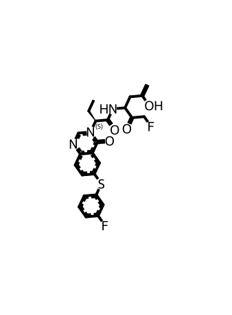 C=C(O)CC(NC(=O)[C@H](CC)n1cnc2ccc(Sc3cccc(F)c3)cc2c1=O)C(=O)CF